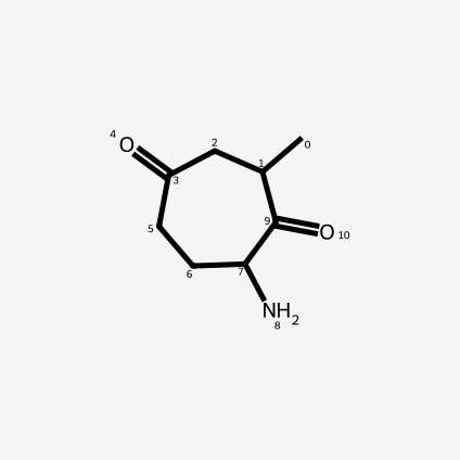 CC1CC(=O)CCC(N)C1=O